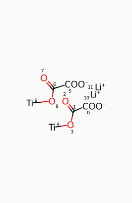 O=C([O-])C(=O)[O][Ti].O=C([O-])C(=O)[O][Ti].[Li+].[Li+]